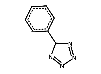 [c]1ccccc1C1N=NN=N1